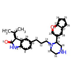 CC(C)=C1C(=O)Nc2ccc(CCCN3CCNCC3c3coc4cccc-4c3)cc21